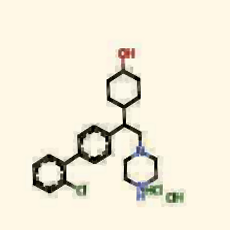 Cl.Cl.OC1CCC(C(CN2CCNCC2)c2ccc(-c3ccccc3Cl)cc2)CC1